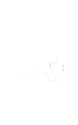 [CH2]C(C)CCc1c[nH]c2ccc(F)cc12